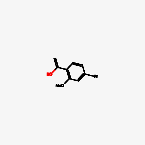 C=C(O)c1ccc(C(C)C)cc1OC